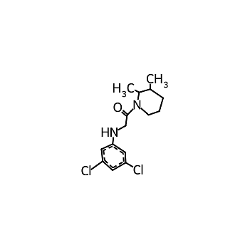 CC1CCCN(C(=O)CNc2cc(Cl)cc(Cl)c2)C1C